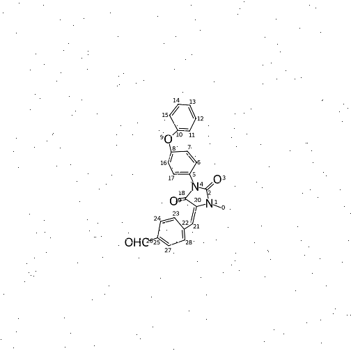 CN1C(=O)N(c2ccc(Oc3ccccc3)cc2)C(=O)/C1=C\c1ccc(C=O)cc1